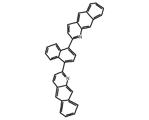 c1ccc2cc3nc(-c4ccc(-c5ccc6cc7ccccc7cc6n5)c5ccccc45)ccc3cc2c1